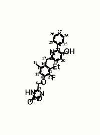 CCc1c(F)c(OCc2noc(=O)[nH]2)cc(C)c1Cc1ccc(O)c(-c2ccccc2)n1